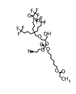 CCC(=O)OCCCCCCOP(=O)(OCCC#N)OC(CO)COCC(CCCNC(=O)C(F)(F)F)(CCCC(F)(F)F)CCCC(F)(F)F